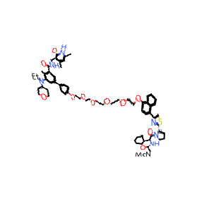 CCN(c1cc(-c2ccc(OCCOCCOCCOCCOCCOc3ccc(-c4csc([C@@H]5CCCN5C(=O)C(NC(=O)CNC)C5CCCCC5)n4)c4ccccc34)cc2)cc(C(=O)NCc2c(C)cc(C)[nH]c2=O)c1C)C1CCOCC1